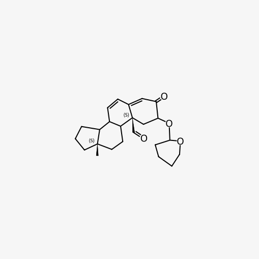 C[C@@]12CCCC1C1C=CC3=CC(=O)C(OC4CCCCO4)C[C@]3(C=O)C1CC2